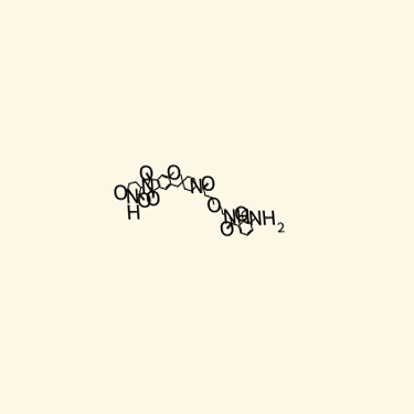 COc1c(N)cccc1C(=O)NCCOCCC(=O)N1CCC2(CC1)COc1cc3c(cc1C2)C(=O)N(C1CCC(=O)NC1=O)C3=O